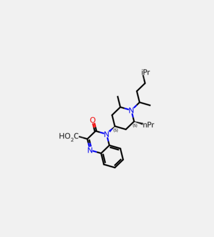 CCC[C@H]1C[C@@H](n2c(=O)c(C(=O)O)nc3ccccc32)CC(C)N1C(C)CCC(C)C